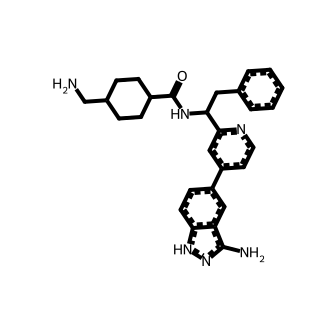 NCC1CCC(C(=O)NC(Cc2ccccc2)c2cc(-c3ccc4[nH]nc(N)c4c3)ccn2)CC1